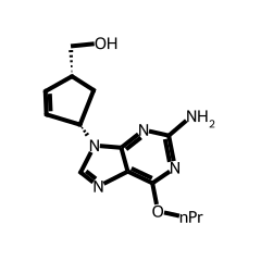 CCCOc1nc(N)nc2c1ncn2[C@@H]1C=C[C@H](CO)C1